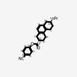 CCC[C@H]1CCc2c(ccc3c2CC[C@H](C(=O)Oc2ccc(C#N)cc2)C3)C1